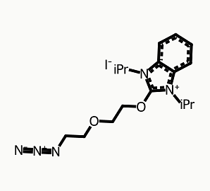 CC(C)n1c(OCCOCCN=[N+]=[N-])[n+](C(C)C)c2ccccc21.[I-]